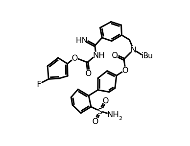 CCC(C)N(Cc1cccc(C(=N)NC(=O)Oc2ccc(F)cc2)c1)C(=O)Oc1ccc(-c2ccccc2S(N)(=O)=O)cc1